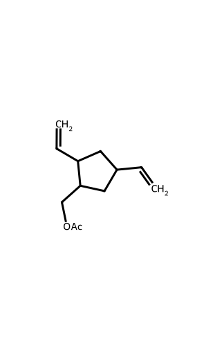 C=CC1CC(C=C)C(COC(C)=O)C1